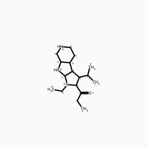 CCC(=O)C1C(C(C)C)C2C3CCNCC3NC2N1CC